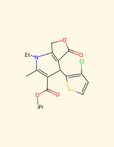 CCN1C(C)=C(C(=O)OC(C)C)C(c2sccc2Cl)C2=C1COC2=O